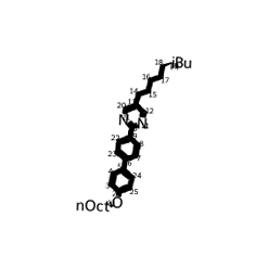 CCCCCCCCOc1ccc(-c2ccc(-c3ncc(CCCCC[C@H](C)CC)cn3)cc2)cc1